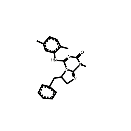 Cc1ccc(C)c(NC2=NC(=O)N(C)C3=NCC(Cc4ccccc4)N23)c1